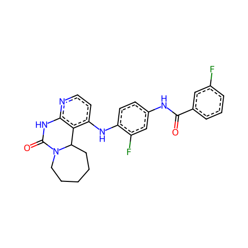 O=C(Nc1ccc(Nc2ccnc3c2C2CCCCCN2C(=O)N3)c(F)c1)c1cccc(F)c1